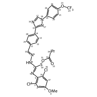 COc1cc(Cl)c(/N=C(/N/N=C/c2ccc(-c3ncn(-c4ccc(OC(F)(F)F)cc4)n3)cc2)SOC(=O)C(C)C)c(Cl)c1